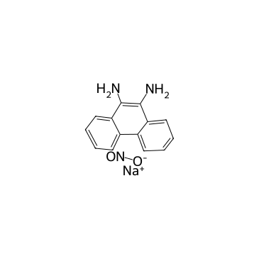 Nc1c(N)c2ccccc2c2ccccc12.O=N[O-].[Na+]